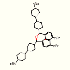 CCCC[C@H]1CC[C@H]([C@H]2CC[C@H](C(OC(c3ccc(CCC)cc3)[C@H]3CC[C@H]([C@H]4CC[C@H](CCCC)CC4)CC3)c3ccc(CCC)cc3)CC2)CC1